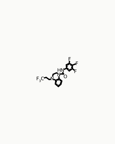 O=C(Nc1cc(F)c(F)c(F)c1)N1CCN(CCC(F)(F)F)c2ccccc21